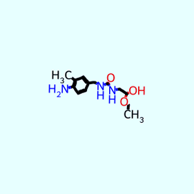 CCOC(O)CNC(=O)NCc1ccc(N)c(C)c1